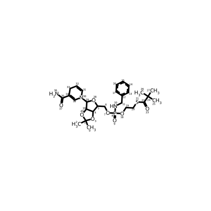 CC1(C)OC2C(COP(=O)(NCc3ccccc3)OCCSC(=O)C(C)(C)C)OC(N3C=CCC(C(N)=O)=C3)C2O1